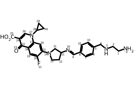 NCCNCc1ccc(C=NC2CCN(c3cc4c(cc3F)c(=O)c(C(=O)O)cn4C3CC3)C2)cc1